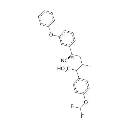 CC(C[C@@H](C#N)c1cccc(Oc2ccccc2)c1)C(C(=O)O)c1ccc(OC(F)F)cc1